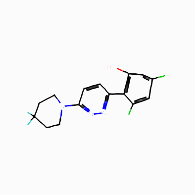 Oc1cc(Cl)cc(Cl)c1-c1ccc(N2CCC(F)(F)CC2)nn1